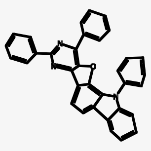 c1ccc(-c2nc(-c3ccccc3)c3oc4c(ccc5c6ccccc6n(-c6ccccc6)c54)c3n2)cc1